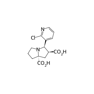 O=C(O)[C@H]1C[C@@]2(C(=O)O)CCCN2[C@H]1c1cccnc1Cl